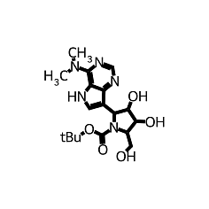 CN(C)c1ncnc2c(C3C(O)C(O)C(CO)N3C(=O)OC(C)(C)C)c[nH]c12